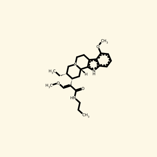 CCCNC(=O)/C(=C/OC)[C@H]1C[C@H]2c3[nH]c4cccc(OC)c4c3CCN2C[C@H]1CC